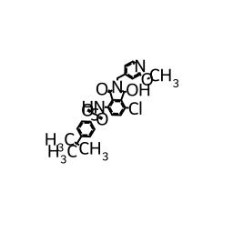 COc1cc(CN2C(=O)c3c(NS(=O)(=O)c4ccc(C(C)(C)C)cc4)ccc(Cl)c3C2O)ccn1